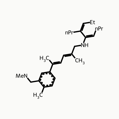 CC/C=C(CCC)\C(=C/CCC)NC/C(C)=C/C=C(\C)c1ccc(C)c(CNC)c1